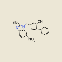 CCCCc1nc2ccc([N+](=O)[O-])cc2n1Cc1ccc(-c2ccccc2)c(C#N)c1